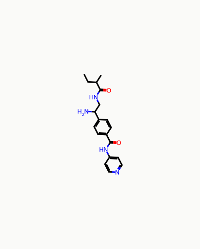 CCC(C)C(=O)NCC(N)c1ccc(C(=O)Nc2ccncc2)cc1